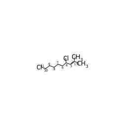 CC(C)=CC(Cl)CCCCCCl